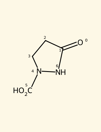 O=C1CCN(C(=O)O)N1